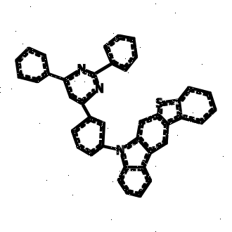 c1ccc(-c2cc(-c3cccc(-n4c5ccccc5c5cc6c(cc54)sc4ccccc46)c3)nc(-c3ccccc3)n2)cc1